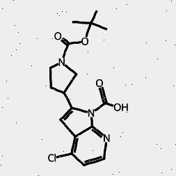 CC(C)(C)OC(=O)N1CCC(c2cc3c(Cl)ccnc3n2C(=O)O)C1